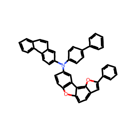 c1ccc(-c2ccc(N(c3ccc4c(ccc5ccccc54)c3)c3ccc4oc5ccc6cc(-c7ccccc7)oc6c5c4c3)cc2)cc1